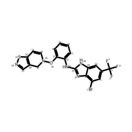 FC(F)(F)c1cc(Br)c2nc(Nc3ccccc3ON3C=Cc4sncc4C3)[nH]c2c1